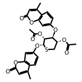 CC(=O)O[C@@H]1[C@@H](Oc2ccc3c(C)cc(=O)oc3c2)[C@H](OC(C)=O)CS[C@@H]1Oc1ccc2c(C)cc(=O)oc2c1